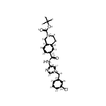 CC(C)(C)OC(=O)N1CCc2cc(C(=O)Nc3cn(Cc4cccc(Cl)c4)cn3)ccc2C1